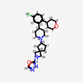 Fc1ccc(C2CCOCC2)c(C2CCN(C3CCC4(C3)CN(c3nnco3)C4)CC2)c1